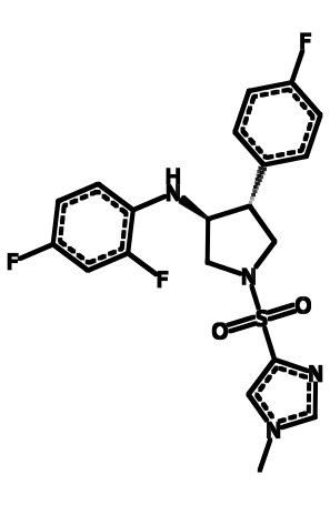 Cn1cnc(S(=O)(=O)N2C[C@@H](Nc3ccc(F)cc3F)[C@H](c3ccc(F)cc3)C2)c1